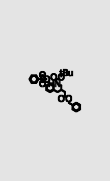 CC(C)(C)OC(=O)NCC(CC(=O)OCc1ccccc1)Cc1ccc(OS(=O)(=O)c2ccccc2)cc1